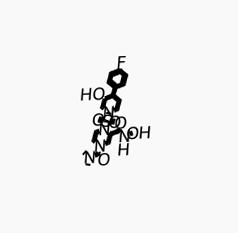 CN(C)C(=O)N1CCN(S(=O)(=O)N2CCC(c3ccc(F)cc3)C(O)C2)C(C(=O)NO)C1